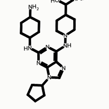 CCCCCC(O)C1CCN(Nc2nc(NC3CCC(N)CC3)nc3c2ncn3C2CCCC2)CC1